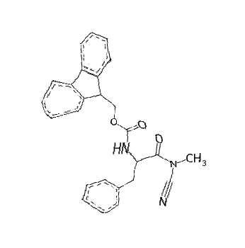 CN(C#N)C(=O)C(Cc1ccccc1)NC(=O)OCC1c2ccccc2-c2ccccc21